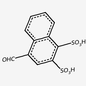 O=Cc1cc(S(=O)(=O)O)c(S(=O)(=O)O)c2ccccc12